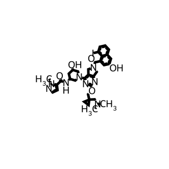 CN(C)CC1(COc2nc3c(c(N4CC(O)CC(NC(=O)c5ccnn5C)C4)n2)CN(C(=O)c2cc(O)cc4cccc(I)c24)C3)CC1